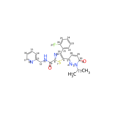 CC(C)n1nc(-c2sc(C(=O)NCc3ccccn3)nc2-c2ccccc2F)ccc1=O